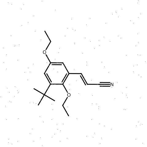 CCOc1cc(/C=C/C#N)c(OCC)c(C(C)(C)C)c1